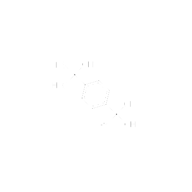 CC(C)C(C)(C)c1ccc(C(C)(C)S)cc1